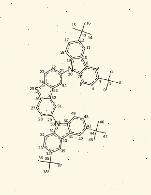 CC(C)(C)c1ccc2c(c1)c1cc(C(C)(C)C)ccc1n2-c1ccc2sc3ccc(-n4c5ccc(C(C)(C)C)cc5c5cc(C(C)(C)C)ccc54)cc3c2c1